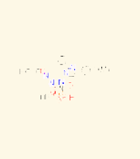 CCCCOP(=O)(O)C[C@H](NC(=O)c1cc(-c2ccc(OC)cc2)nc(-c2ccccc2)n1)C(=O)N1CCN(OC(=O)O)CC1